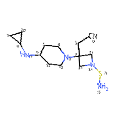 N#CCC1(N2CCC(NC3CC3)CC2)CN(SN)C1